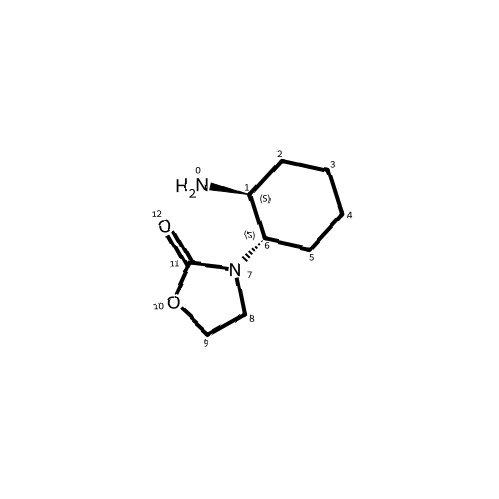 N[C@H]1CCCC[C@@H]1N1CCOC1=O